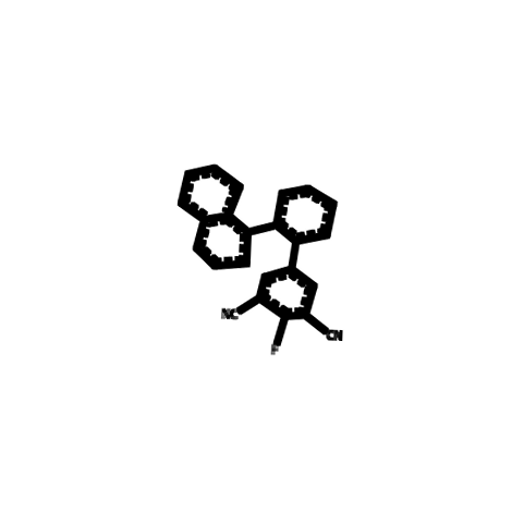 N#Cc1cc(-c2ccccc2-c2cccc3ccccc23)cc(C#N)c1F